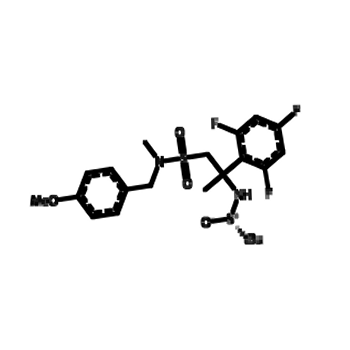 COc1ccc(CN(C)S(=O)(=O)CC(C)(N[S@@+]([O-])C(C)(C)C)c2c(F)cc(F)cc2F)cc1